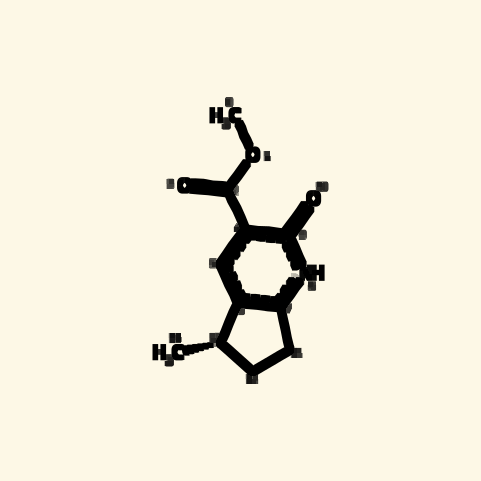 COC(=O)c1cc2c([nH]c1=O)CC[C@@H]2C